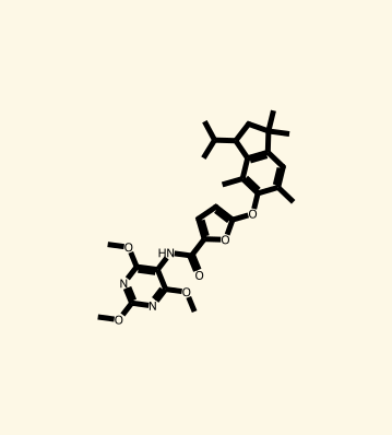 COc1nc(OC)c(NC(=O)c2ccc(Oc3c(C)cc4c(c3C)C(C(C)C)CC4(C)C)o2)c(OC)n1